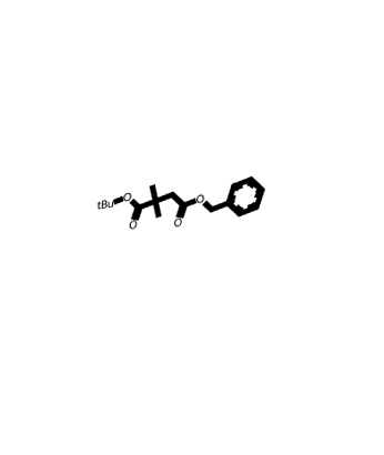 CC(C)(C)OC(=O)C(C)(C)CC(=O)OCc1ccccc1